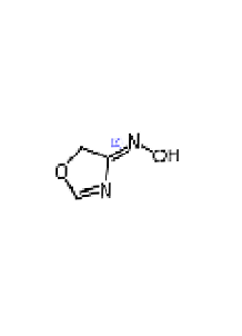 O/N=C1/COC=N1